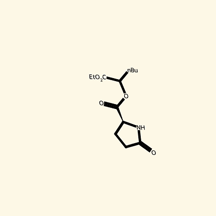 CCCCC(OC(=O)[C@@H]1CCC(=O)N1)C(=O)OCC